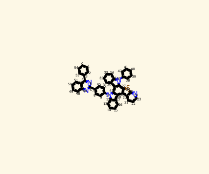 c1ccc(-c2nc(-c3ccc(-n4c5ccccc5c5c6c7cccnc7sc6c6c(c7ccccc7n6-c6ccccc6)c54)cc3)nc3ccccc23)cc1